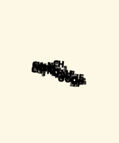 Cc1nc(N2CCC(N(C)C)CC2)nc2ccc(NC(=O)COc3ccc(C(F)(F)F)cc3F)cc12